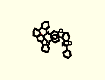 c1ccc(-c2nc3c(ccc4oc5cc(N(c6ccccc6-c6ccccc6)c6cccc7c8ccccc8n(-c8ccccc8)c67)ccc5c43)o2)cc1